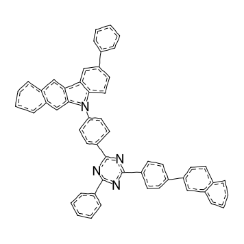 c1ccc(-c2ccc3c(c2)c2cc4ccccc4cc2n3-c2ccc(-c3nc(-c4ccccc4)nc(-c4ccc(-c5ccc6ccccc6c5)cc4)n3)cc2)cc1